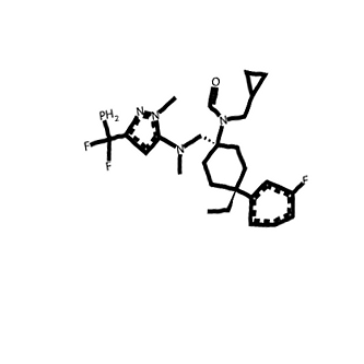 CC[C@]1(c2cccc(F)c2)CC[C@](CN(C)c2cc(C(F)(F)P)nn2C)(N(C=O)CC2CC2)CC1